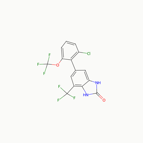 O=c1[nH]c2cc(-c3c(Cl)cccc3OC(F)(F)F)cc(C(F)(F)F)c2[nH]1